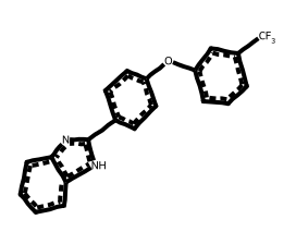 FC(F)(F)c1cccc(Oc2ccc(-c3nc4ccccc4[nH]3)cc2)c1